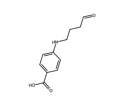 O=CCCCNc1ccc(C(=O)O)cc1